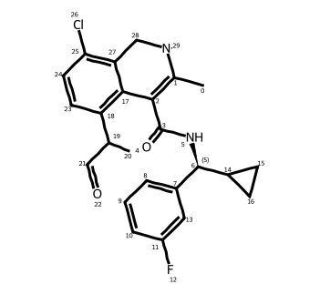 CC1=C(C(=O)N[C@H](c2cccc(F)c2)C2CC2)c2c(C(C)C=O)ccc(Cl)c2C[N]1